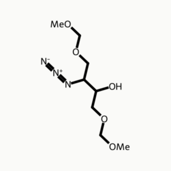 COCOCC(O)C(COCOC)N=[N+]=[N-]